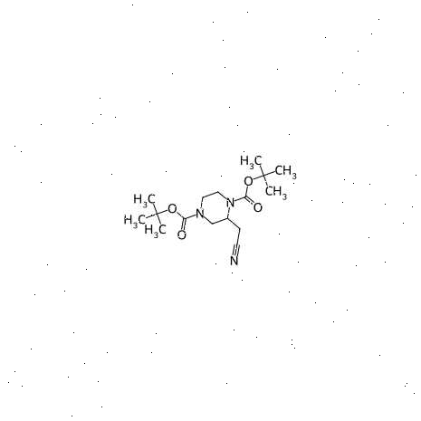 CC(C)(C)OC(=O)N1CCN(C(=O)OC(C)(C)C)C(CC#N)C1